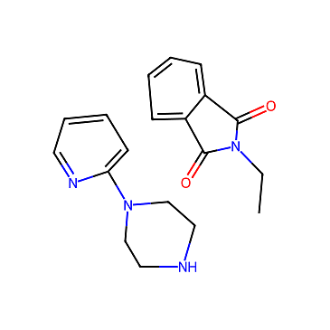 CCN1C(=O)c2ccccc2C1=O.c1ccc(N2CCNCC2)nc1